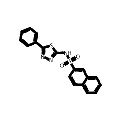 O=S(=O)(Nc1nnc(-c2ccccc2)s1)c1ccc2ccccc2c1